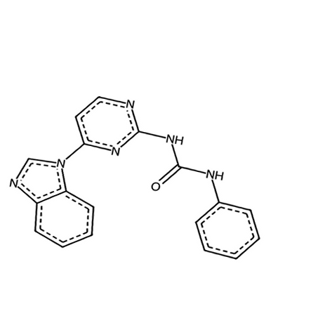 O=C(Nc1ccccc1)Nc1nccc(-n2cnc3ccccc32)n1